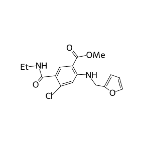 CCNC(=O)c1cc(C(=O)OC)c(NCc2ccco2)cc1Cl